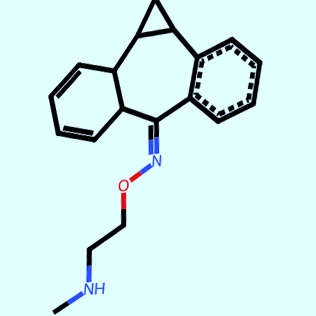 CNCCON=C1c2ccccc2C2CC2C2C=CC=CC12